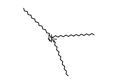 CCCCCCCCCCCCCCCCc1n(CCCCCCCCCCCCCCC)cc[n+]1CCCCCCCCCCCCCCC